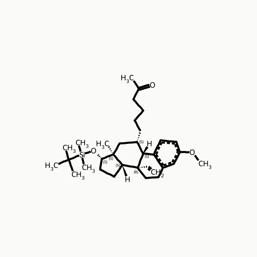 C=C[C@@]12CCc3cc(OC)ccc3[C@H]1[C@@H](CCCCC(C)=O)C[C@]1(C)[C@@H](O[Si](C)(C)C(C)(C)C)CC[C@H]12